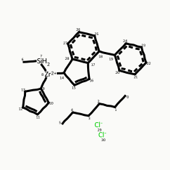 CCCCCC.C[SiH2][Zr+2]([C]1=CC=CC1)[CH]1C=Cc2c(-c3ccccc3)cccc21.[Cl-].[Cl-]